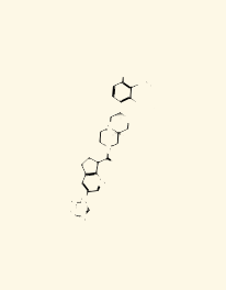 Cc1c([C@H]2CN3CCN(C(=O)C4CCc5cc(-n6cnnn6)cnc54)C[C@@H]3CO2)ccc(F)c1C#N